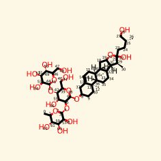 CC1O[C@@H](OC2[C@H](OC3CC[C@@]4(C)C(=CC[C@H]5[C@@H]6CC7OC(O)(CC[C@@H](C)CO)[C@@H](C)[C@@H]7[C@@]6(C)CC[C@@H]54)C3)OC(CO)[C@@H](O[C@@H]3OC(CO)[C@@H](O)[C@H](O)C3O)[C@@H]2O)C(O)[C@@H](O)[C@H]1O